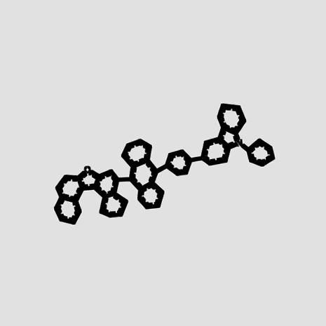 c1ccc(-n2c3ccccc3c3cc(-c4ccc(-c5c6ccccc6c(-c6cc7oc8ccc9ccccc9c8c7c7ccccc67)c6ccccc56)cc4)ccc32)cc1